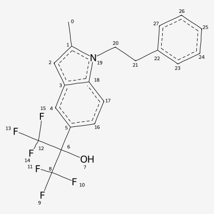 Cc1cc2cc(C(O)(C(F)(F)F)C(F)(F)F)ccc2n1CCc1ccccc1